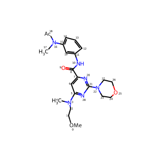 COCCN(C)c1cc(C(=O)Nc2cccc(N(C)C(C)=O)c2)nc(N2CCOCC2)n1